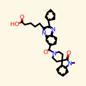 CN1C(=O)C2(CCN(C(=O)c3ccc4nc(-c5ccccc5)c(CCCCC(=O)O)nc4c3)CC2)c2ccccc21